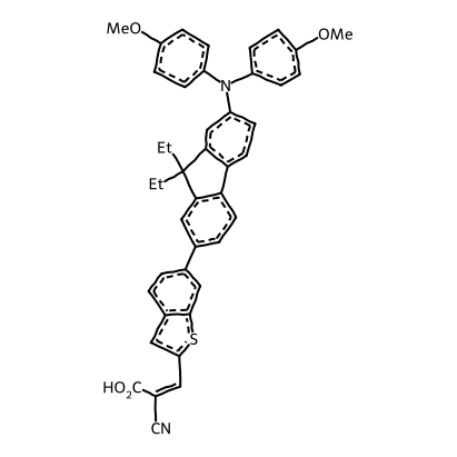 CCC1(CC)c2cc(-c3ccc4cc(C=C(C#N)C(=O)O)sc4c3)ccc2-c2ccc(N(c3ccc(OC)cc3)c3ccc(OC)cc3)cc21